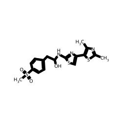 Cc1nc(C)c(-c2csc(NC(O)Cc3ccc(S(C)(=O)=O)cc3)n2)s1